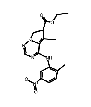 CCOC(=O)C1CN2N=CN=C(Nc3cc([N+](=O)[O-])ccc3C)C2=C1C